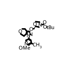 COc1ncc(-n2nc(OC[C@@H]3CN(C(=O)OC(C)(C)C)CCO3)c3c2CCOCC3)cc1C